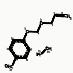 C=CCOCOc1ccc(C=O)cc1.CC(C)O